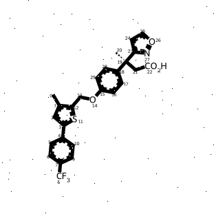 Cc1cc(-c2ccc(C(F)(F)F)cc2)sc1COc1ccc([C@](C)(CC(=O)O)c2ccon2)cc1